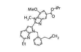 C=CCc1ccccc1Cn1c(-c2nc3cc(C(=O)OC(C)C)cc(OC)c3n2C)cc2ccc(CC)nc21